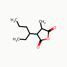 CCCC(CC)C1C(=O)OC(=O)C1C